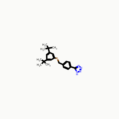 CC(C)(C)c1cc(SCc2ccc(-c3nnn[nH]3)cc2)cc(C(C)(C)C)c1